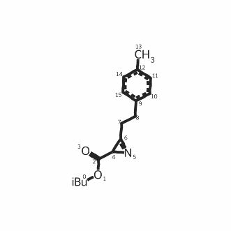 CCC(C)OC(=O)C1N=C1CCc1ccc(C)cc1